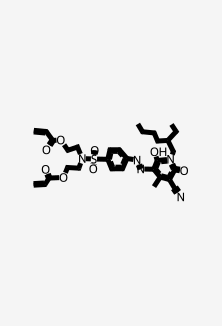 C=CC(=O)OCCN(CCOC(=O)C=C)S(=O)(=O)c1ccc(/N=N/c2c(C)c(C#N)c(=O)n(CC(CC)CCCC)c2O)cc1